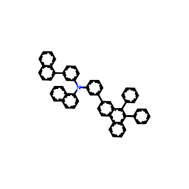 c1ccc(-c2c(-c3ccccc3)c3cc(-c4cccc(N(c5cccc(-c6cccc7ccccc67)c5)c5cccc6ccccc56)c4)ccc3c3ccccc23)cc1